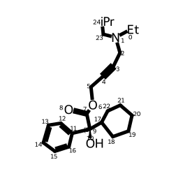 CCN(CC#CCOC(=O)[C@@](O)(c1ccccc1)C1CCCCC1)CC(C)C